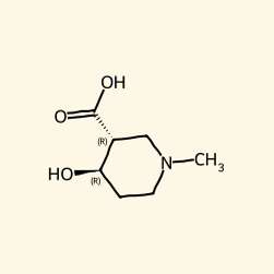 CN1CC[C@@H](O)[C@H](C(=O)O)C1